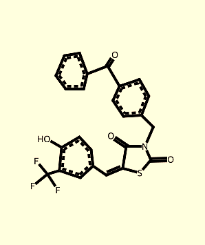 O=C(c1ccccc1)c1ccc(CN2C(=O)SC(=Cc3ccc(O)c(C(F)(F)F)c3)C2=O)cc1